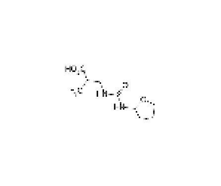 O=C(NCC(C(=O)O)C(F)(F)F)NC1CCCO1